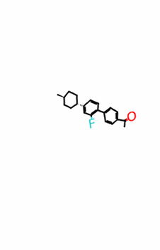 CC(=O)c1ccc(-c2ccc([C@H]3CC[C@H](C)CC3)cc2F)cc1